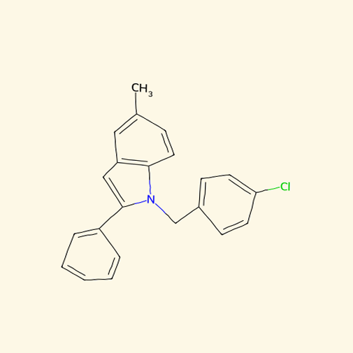 Cc1ccc2c(c1)cc(-c1ccccc1)n2Cc1ccc(Cl)cc1